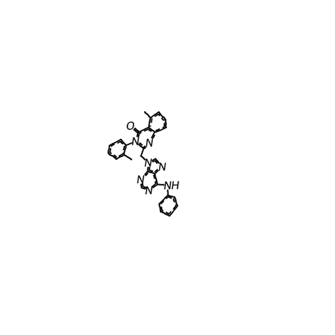 Cc1ccccc1-n1c(Cn2cnc3c(Nc4ccccc4)ncnc32)nc2cccc(C)c2c1=O